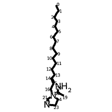 CCCCCCCCCCCCCCC=CC[N+]1(C(C)N)C=NCC1